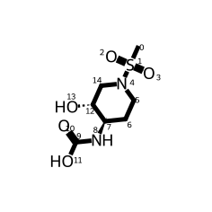 CS(=O)(=O)N1CC[C@@H](NC(=O)O)[C@H](O)C1